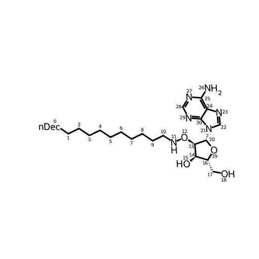 CCCCCCCCCCCCCCCCCCCCNO[C@@H]1[C@H](O)[C@@H](CO)O[C@H]1n1cnc2c(N)ncnc21